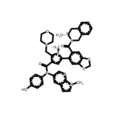 C[C@@H]1Cc2ccccc2CN1C(=O)c1cc2c(cc1-c1cc(C(=O)N(c3ccc(O)cc3)c3cnc4c(ccn4C)c3)c(CN3CCOCC3)n1C)OCO2